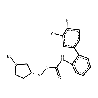 CCN1CC[C@@H](COC(=O)Nc2ccccc2-c2ccc(F)c(Cl)c2)C1